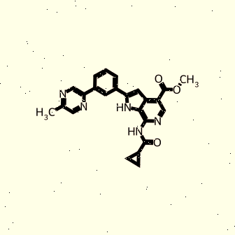 COC(=O)c1cnc(NC(=O)C2CC2)c2[nH]c(-c3cccc(-c4cnc(C)cn4)c3)cc12